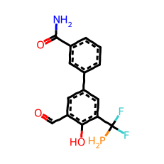 NC(=O)c1cccc(-c2cc(C=O)c(O)c(C(F)(F)P)c2)c1